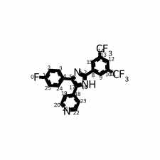 Fc1ccc(-c2nc(-c3cc(C(F)(F)F)cc(C(F)(F)F)c3)[nH]c2-c2ccncc2)cc1